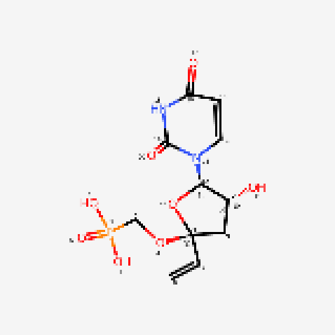 C=C[C@@]1(OCP(=O)(O)O)C[C@@H](O)[C@H](n2ccc(=O)[nH]c2=O)O1